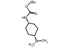 CN(C)[C@H]1CC[C@@H](NC(=O)OC(C)(C)C)CC1